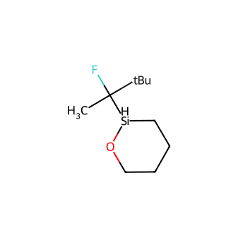 CC(C)(C)C(C)(F)[SiH]1CCCCO1